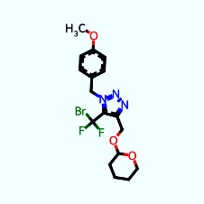 COc1ccc(Cn2nnc(COC3CCCCO3)c2C(F)(F)Br)cc1